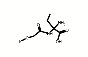 CCC(N)(NC(=O)CCF)C(=O)O